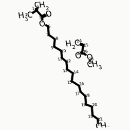 C=C(C)C(=O)OCCCCCCCCCCCCCCCCCC.C=CC(=O)OC